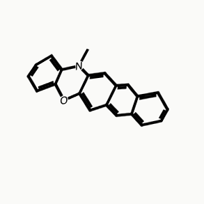 CN1c2ccccc2Oc2cc3cc4ccccc4cc3cc21